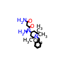 CC1(C)CC(N(N)C(=O)CC(N)=O)CC(C)(C)N1Cc1ccccc1